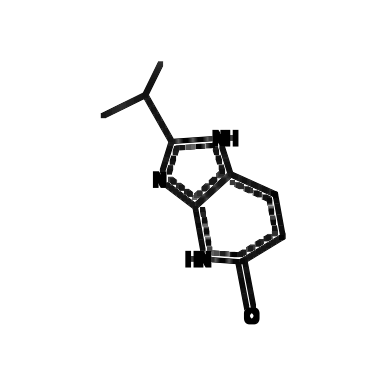 CC(C)c1nc2[nH]c(=O)ccc2[nH]1